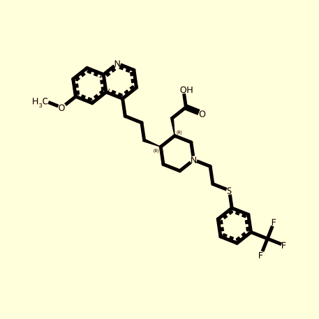 COc1ccc2nccc(CCC[C@@H]3CCN(CCSc4cccc(C(F)(F)F)c4)C[C@@H]3CC(=O)O)c2c1